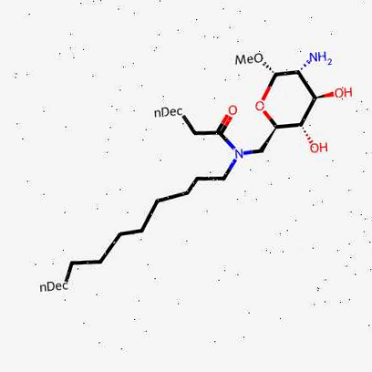 CCCCCCCCCCCCCCCCCCN(C[C@H]1O[C@H](OC)[C@H](N)[C@@H](O)[C@@H]1O)C(=O)CCCCCCCCCCC